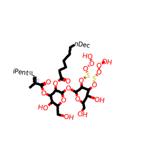 CCCCCCCCCCCCCCCC(=O)OC1C(OC2OC(CO)C(O)C(OSOOO)C2OSOOO)OC(CO)C(O)C1OC(=O)/C(C)=C/[C@@H](C)CCC